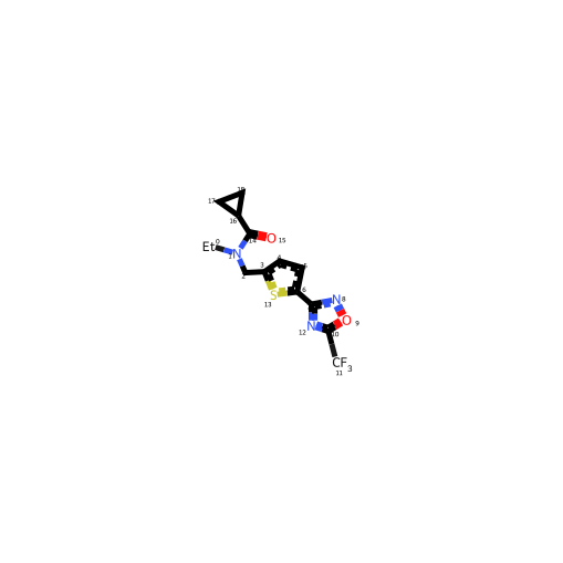 CCN(Cc1ccc(-c2noc(C(F)(F)F)n2)s1)C(=O)C1CC1